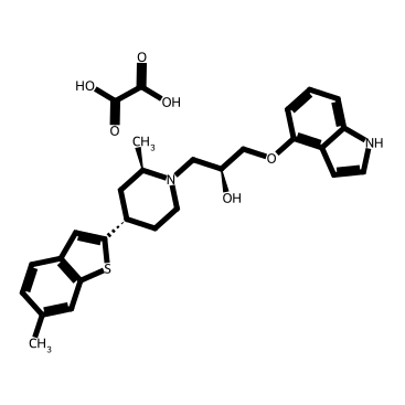 Cc1ccc2cc([C@H]3CCN(C[C@H](O)COc4cccc5[nH]ccc45)[C@H](C)C3)sc2c1.O=C(O)C(=O)O